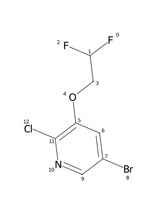 FC(F)COc1cc(Br)cnc1Cl